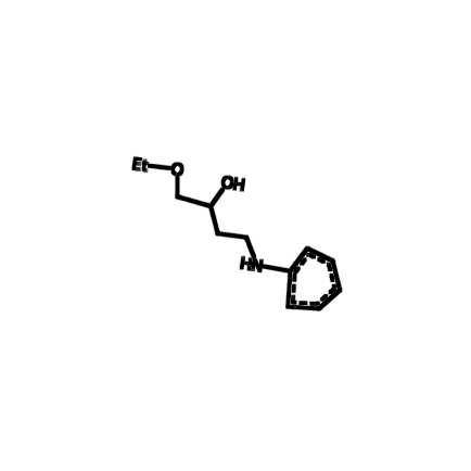 CCOCC(O)CCNc1ccccc1